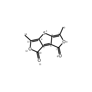 CC1=c2sc3c(c2C(=O)O1)C(=O)OC=3C